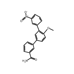 COc1ccc(-c2cccc(C(N)=O)c2)cc1-c1cccc([N+](=O)[O-])c1